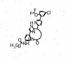 COC(=O)Nc1ccc2c(c1)NC(=O)CCCCC(c1ccc(-c3cc(Cl)ccc3OC(F)F)cn1)c1nc-2c[nH]1